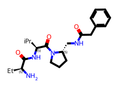 CC[C@H](N)C(=O)N[C@H](C(=O)N1CCC[C@H]1CNC(=O)Cc1ccccc1)C(C)C